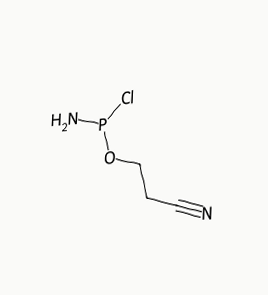 N#CCCOP(N)Cl